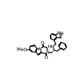 COc1ccc2c(c1)cc1n2C(=O)CN(C[C@H](Cc2ccccc2)NCc2cccc3[nH]ncc23)C1=O